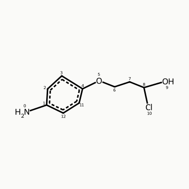 Nc1ccc(OCCC(O)Cl)cc1